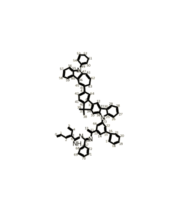 C=C/C=C(C=C)/C(N)=N/C(=N\C(=C)c1cc(-c2ccccc2)cc(-n2c3ccccc3c3cc4c(cc32)C(C)(C)c2ccc(C3=Cc5c(n(C6=CCCC=C6)c6ccccc56)C=CC3)cc2-4)c1)c1ccccc1